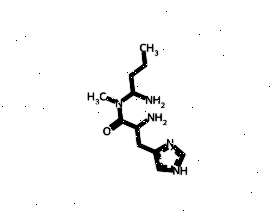 CCCC(N)N(C)C(=O)C(N)Cc1c[nH]cn1